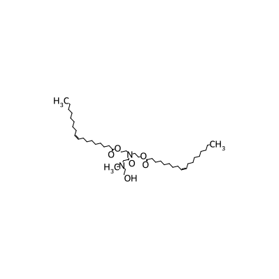 CCCCCCCC/C=C\CCCCCCCC(=O)OCCN(CCOC(=O)CCCCCCC/C=C\CCCCCCCC)C(=O)CN(C)CCO